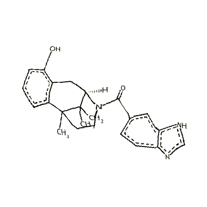 CC12CCN(C(=O)c3ccc4nc[nH]c4c3)[C@H](Cc3c(O)cccc31)C2(C)C